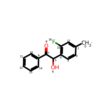 [CH2]c1ccc(C(O)C(=O)c2ccccc2)c(F)c1